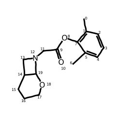 Cc1cccc(C)c1OC(=O)CN1CC2CCCOC21